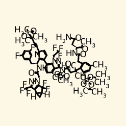 CC(=O)[C@H](CC(N)=O)NC(=O)Cc1cc(C)cc(OP(=O)(OC(C)C)OC(C)C)c1C(C)(C)CC(=O)N(c1nn(CC(F)(F)F)c2c(-c3ccc(C#CC(C)(C)S(C)(=O)=O)nc3[C@H](Cc3cc(F)cc(F)c3)NC(=O)Cn3nc(C(F)(F)F)c4c3C(F)(F)[C@@H]3C[C@H]43)ccc(Cl)c12)S(C)(=O)=O